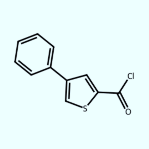 O=C(Cl)c1cc(-c2ccccc2)cs1